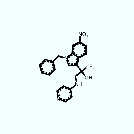 O=[N+]([O-])c1ccc2c(C(O)(CNc3ccncc3)C(F)(F)F)cn(Cc3ccccc3)c2c1